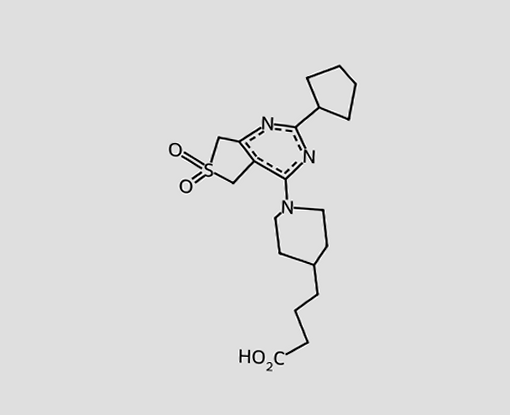 O=C(O)CCCC1CCN(c2nc(C3CCCC3)nc3c2CS(=O)(=O)C3)CC1